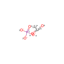 O=P([O-])([O-])[O-].[Li+].[O]=[U+2]=[O]